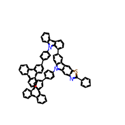 c1ccc(-c2nc3cc4c(cc3s2)c2cc(-c3cccc5c6ccccc6n(-c6ccc(-c7ccc8c9ccccc9c9ccccc9c8c7)cc6)c35)ccc2n4-c2ccc(-c3ccc4c5ccccc5c5ccccc5c4c3)cc2)cc1